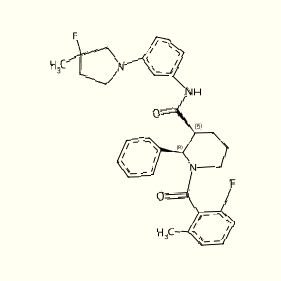 Cc1cccc(F)c1C(=O)N1CCC[C@H](C(=O)Nc2cccc(N3CCC(C)(F)C3)c2)[C@@H]1c1ccccc1